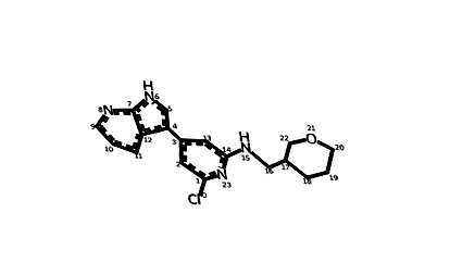 Clc1cc(-c2c[nH]c3ncccc23)cc(NCC2CCCOC2)n1